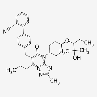 CCCc1c(Cc2ccc(-c3ccccc3C#N)cc2)c(=O)n([C@H]2CC[C@H](OC(CC)C(C)(C)O)CC2)c2nc(C)nn12